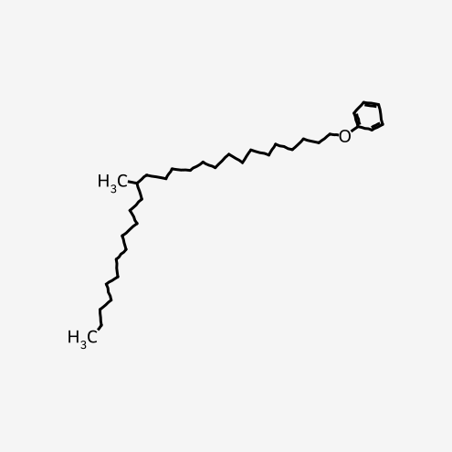 CCCCCCCCCCCCC(C)CCCCCCCCCCCCCCCOc1ccccc1